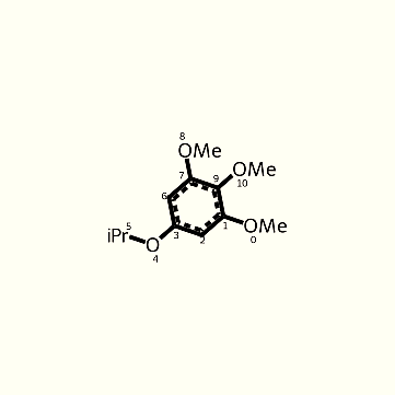 COc1cc(OC(C)C)cc(OC)c1OC